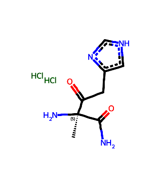 C[C@@](N)(C(N)=O)C(=O)Cc1c[nH]cn1.Cl.Cl